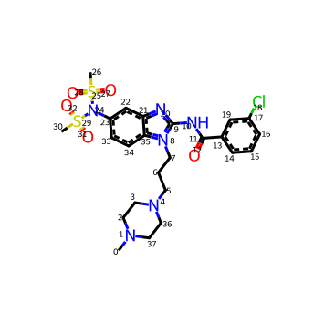 CN1CCN(CCCn2c(NC(=O)c3cccc(Cl)c3)nc3cc(N(S(C)(=O)=O)S(C)(=O)=O)ccc32)CC1